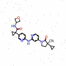 N#C[C@@]1(C2CC2)CCN(c2ccnc(Nc3ccc(C4(C(=O)NC5COC5)CC4)cn3)c2)C1=O